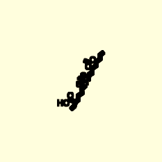 CCCCCC(/C=C/CN(CCCCCC(CC)C(=O)O)S(C)(=O)=O)OC(C)=O